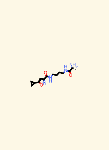 C[C@@H](N)C(=O)NCCCCNC(=O)c1cc(C2CC2)on1